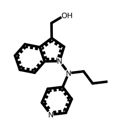 CCCN(c1ccncc1)n1cc(CO)c2ccccc21